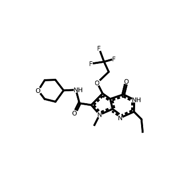 CCc1nc2c(c(OCC(F)(F)F)c(C(=O)NC3CCOCC3)n2C)c(=O)[nH]1